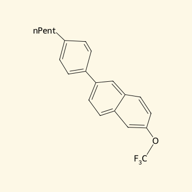 CCCCCc1ccc(-c2ccc3cc(OC(F)(F)F)ccc3c2)cc1